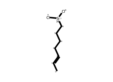 CC=CCCCC[SiH](Cl)Cl